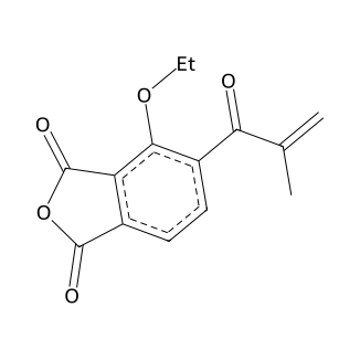 C=C(C)C(=O)c1ccc2c(c1OCC)C(=O)OC2=O